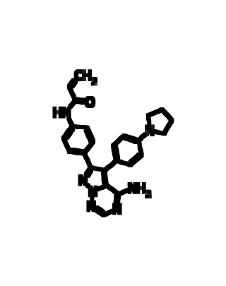 C=CC(=O)Nc1ccc(-c2nn3ncnc(N)c3c2-c2ccc(N3CCCC3)cc2)cc1